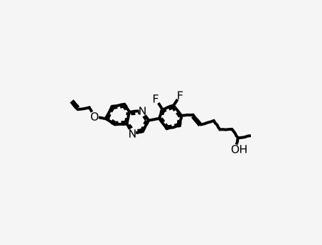 C=CCOc1ccc2nc(-c3ccc(C=CCCCC(C)O)c(F)c3F)cnc2c1